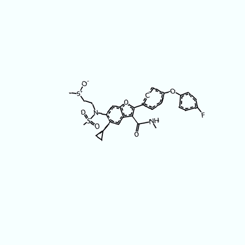 CNC(=O)c1c(-c2ccc(Oc3ccc(F)cc3)cc2)oc2cc(N(CC[S+](C)[O-])S(C)(=O)=O)c(C3CC3)cc12